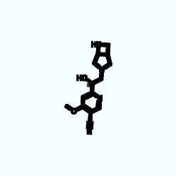 COc1cc([C@@H](O)CN2CC3CNC3C2)ncc1C#N